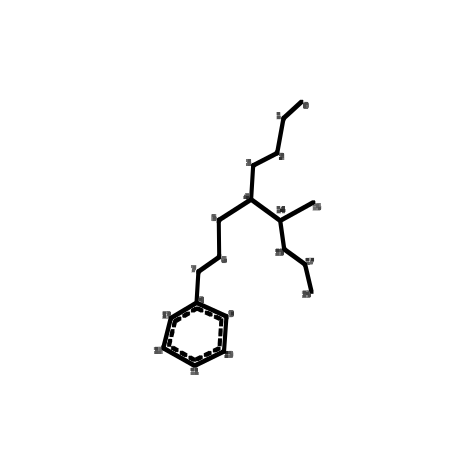 CCCCC(CCCc1ccccc1)C(C)CCC